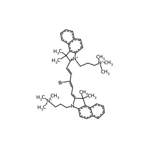 CC1(C)C(/C=C/C(Br)=C/C=C2/N(CCC[N+](C)(C)C)c3ccc4ccccc4c3C2(C)C)=[N+](CCC[N+](C)(C)C)c2ccc3ccccc3c21